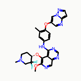 COc1ncc2ncnc(Nc3ccc(Oc4cnc5ccnn5c4)c(C)c3)c2c1O[C@H]1CCN(C)CC1(F)F